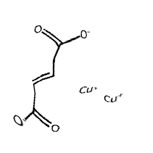 O=C([O-])/C=C/C(=O)[O-].[Cu+].[Cu+]